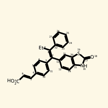 CCC(=C(c1ccc(C=CC(=O)O)cc1)c1ccc2[nH]c(=O)sc2c1)c1ccccc1